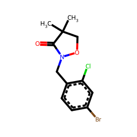 CC1(C)CON(Cc2ccc(Br)cc2Cl)C1=O